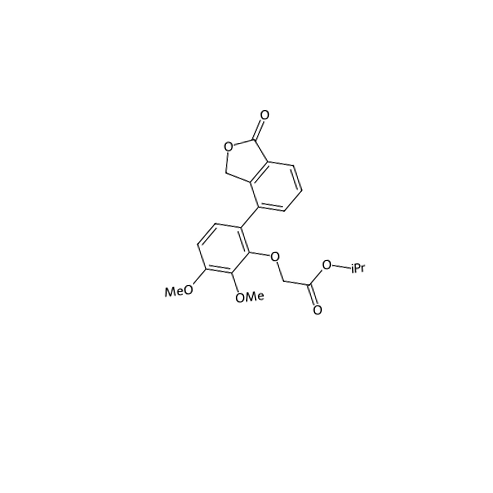 COc1ccc(-c2cccc3c2COC3=O)c(OCC(=O)OC(C)C)c1OC